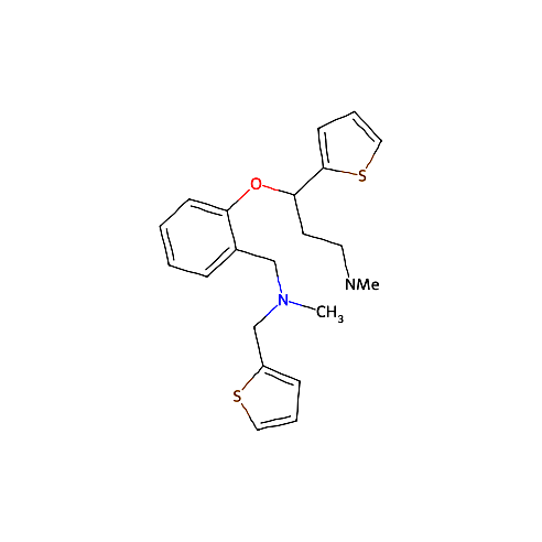 CNCCC(Oc1ccccc1CN(C)Cc1cccs1)c1cccs1